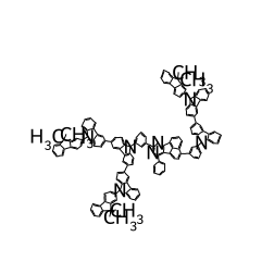 CC1(C)c2ccccc2-c2ccc(-n3c4ccccc4c4cc(-c5ccc6c(c5)c5ccccc5n6-c5cccc(-c6ccc7c8c(cccc68)-c6nc(-c8cccc(-n9c%10ccc(-c%11ccc%12c(c%11)c%11ccccc%11n%12-c%11ccc%12c(c%11)C(C)(C)c%11ccccc%11-%12)cc%10c%10cc(-c%11ccc%12c(c%11)c%11ccccc%11n%12-c%11ccc%12c(c%11)C(C)(C)c%11ccccc%11-%12)ccc%109)c8)nc(-c8ccccc8)c6-7)c5)ccc43)cc21